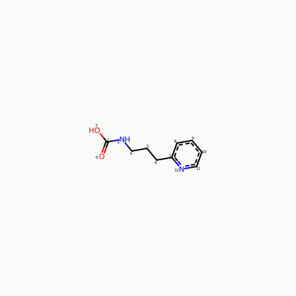 O=C(O)NCCCc1ccccn1